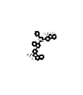 CC1(C)c2ccccc2-c2ccc(-c3cc(-c4ccccc4)nc(-c4ccc(-c5ccc6c(c5)-c5c(ccc7ccccc57)C6(C)C)c5ccccc45)n3)cc21